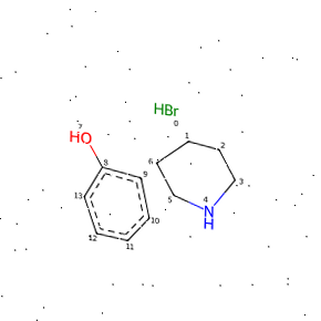 Br.C1CCNCC1.Oc1ccccc1